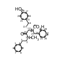 CN(CCc1ccccc1)C(=O)[C@H](CCc1ccc(O)cc1)N(Cc1ccncc1)C(=O)O